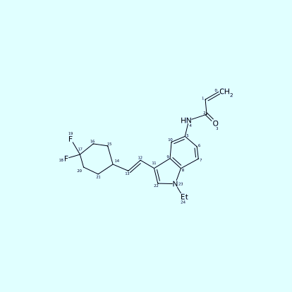 C=CC(=O)Nc1ccc2c(c1)c(C=CC1CCC(F)(F)CC1)cn2CC